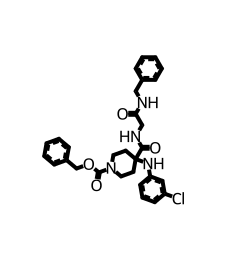 O=C(CNC(=O)C1(Nc2cccc(Cl)c2)CCN(C(=O)OCc2ccccc2)CC1)NCc1ccccc1